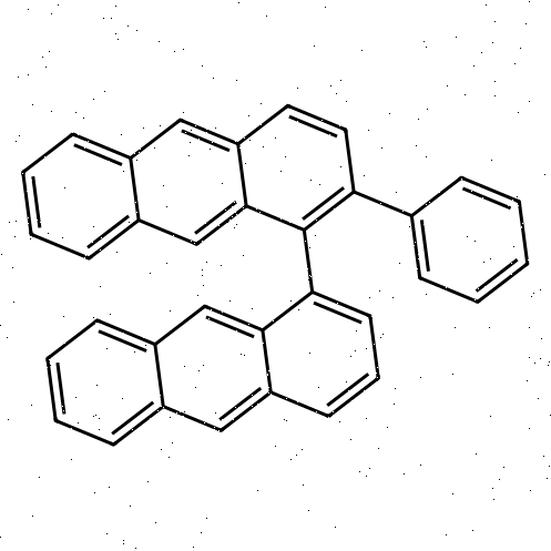 c1ccc(-c2ccc3cc4ccccc4cc3c2-c2cccc3cc4ccccc4cc23)cc1